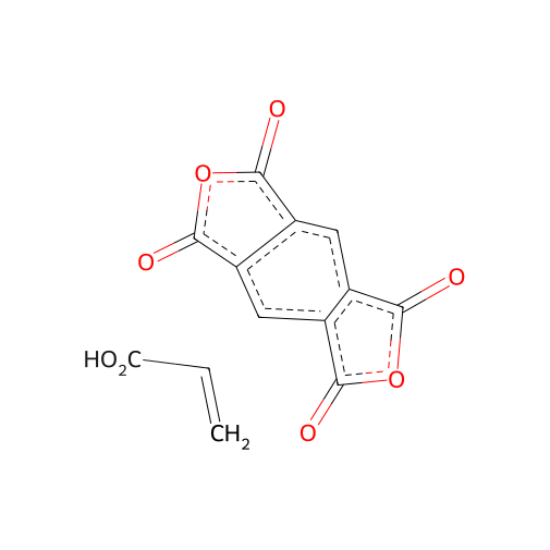 C=CC(=O)O.O=c1oc(=O)c2cc3c(=O)oc(=O)c3cc12